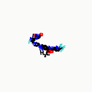 COc1cc2nn(C3CCN(Cc4cc(N5CCC(=O)NC5=O)cnc4F)CC3)cc2cc1NC(=O)c1ccc(C(F)(F)F)nc1